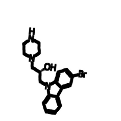 O[C@@H](CN1CCNCC1)Cn1c2ccccc2c2cc(Br)ccc21